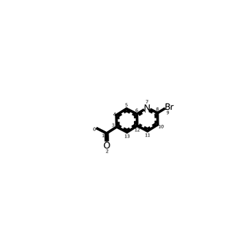 CC(=O)c1ccc2nc(Br)ccc2c1